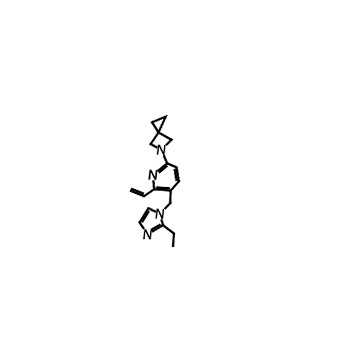 C=Cc1nc(N2CC3(CC3)C2)ccc1Cn1ccnc1CC